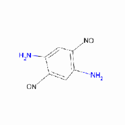 Nc1cc(N=O)c(N)cc1N=O